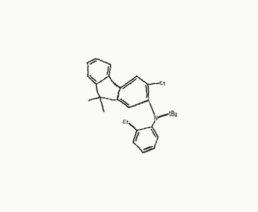 CCc1ccccc1N(c1cc2c(cc1CC)-c1ccccc1C2(C)C)C(C)(C)C